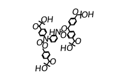 CC(C)(O)C(=O)c1ccc(COC(=O)N(c2ccc(C(=O)C(C)(C)O)cc2)c2cccc(NC(=O)OC(c3ccc(C(=O)C(C)(C)O)cc3)c3ccc(C(=O)C(C)(C)O)cc3)c2)cc1